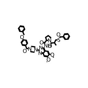 COc1cc2nc(N3CCN(C(=O)c4ccc(OCc5ccccc5)cc4)CC3)nc(NC(=O)C3CCCN3C(=O)C(C)CSC(=O)c3ccccc3)c2cc1OC